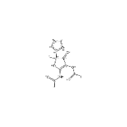 CC(=O)NC1=C(OC(C)=O)C(=O)C(C)(c2ccco2)O1